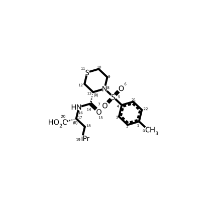 Cc1ccc(S(=O)(=O)N2CCSC[C@H]2C(=O)N[C@H](CC(C)C)C(=O)O)cc1